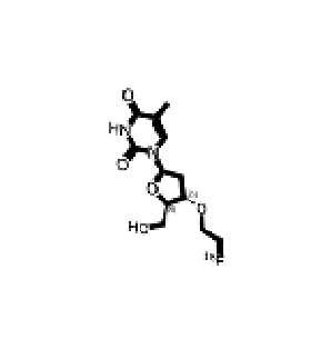 Cc1cn(C2C[C@H](OCC[18F])[C@@H](CO)O2)c(=O)[nH]c1=O